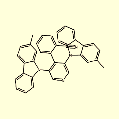 Cc1ccc2c3ccccc3n(-c3cncc(-n4c5ccccc5c5ccc(C)cc54)c3-c3ccccc3C#N)c2c1